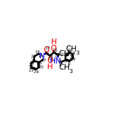 C=C(N[C@@H](C)c1cccc(C)c1)C(O)C(O)C(=O)N1CCc2ccccc2C1